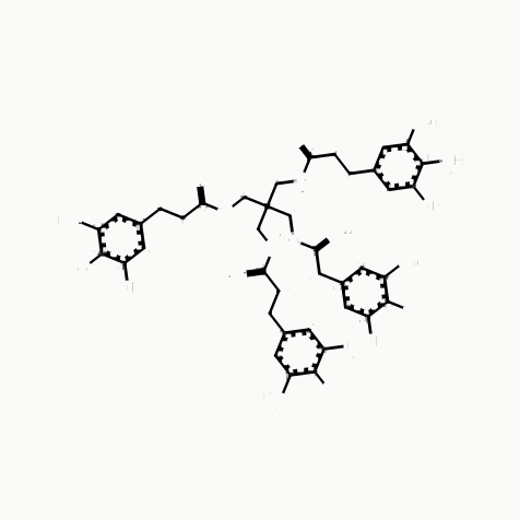 CC(C)(C)c1cc(CCC(=O)OCC(COC(=O)CCc2cc(C(C)(C)C)c(O)c(C(C)(C)C)c2)(COC(=O)CCc2cc(C(C)(C)C)c(O)c(C(C)(C)C)c2)COC(=O)Cc2cc(C(C)(C)C)c(O)c(C(C)(C)C)c2)cc(C(C)(C)C)c1O